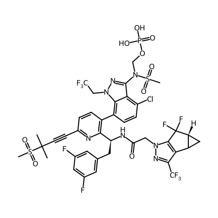 CC(C)(C#Cc1ccc(-c2ccc(Cl)c3c(N(COP(=O)(O)O)S(C)(=O)=O)nn(CC(F)(F)F)c23)c([C@H](Cc2cc(F)cc(F)c2)NC(=O)Cn2nc(C(F)(F)F)c3c2C(F)(F)[C@@H]2CC32)n1)S(C)(=O)=O